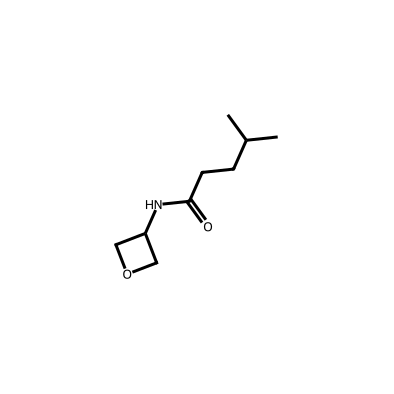 CC(C)CCC(=O)NC1COC1